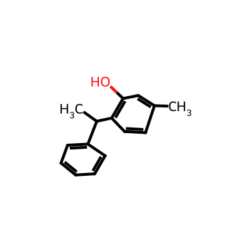 Cc1ccc(C(C)c2ccccc2)c(O)c1